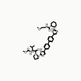 COCCNC(=O)[C@@H]1CCCC[C@@H]1c1ncc(-c2ccc(-c3ccc(-c4cnc([C@@H]5CCCN5C(=O)[C@@H](NC(=O)OC)C(C)C)[nH]4)cc3)cc2)[nH]1